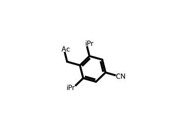 CC(=O)Cc1c(C(C)C)cc(C#N)cc1C(C)C